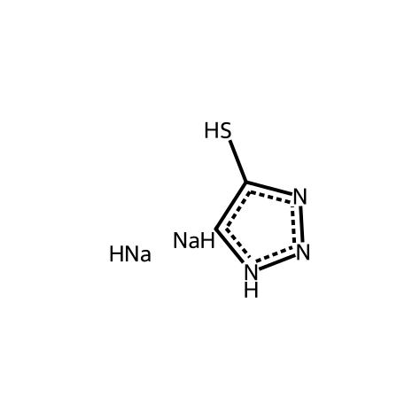 Sc1c[nH]nn1.[NaH].[NaH]